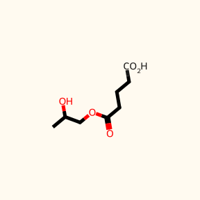 CC(O)COC(=O)CCCC(=O)O